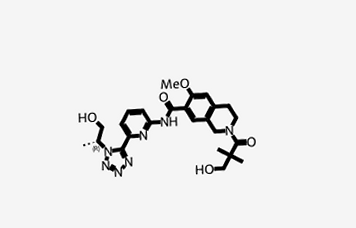 COc1cc2c(cc1C(=O)Nc1cccc(-c3nnnn3[C@H](C)CO)n1)CN(C(=O)C(C)(C)CO)CC2